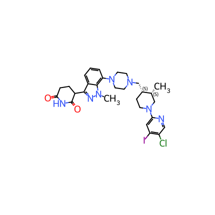 C[C@@H]1CN(c2cc(I)c(Cl)cn2)CC[C@@H]1CN1CCN(c2cccc3c(C4CCC(=O)NC4=O)nn(C)c23)CC1